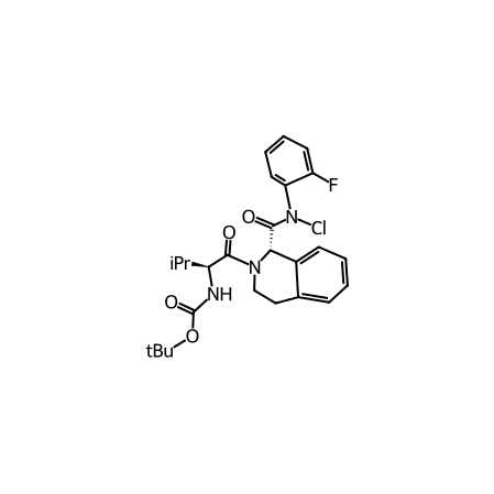 CC(C)[C@H](NC(=O)OC(C)(C)C)C(=O)N1CCc2ccccc2[C@H]1C(=O)N(Cl)c1ccccc1F